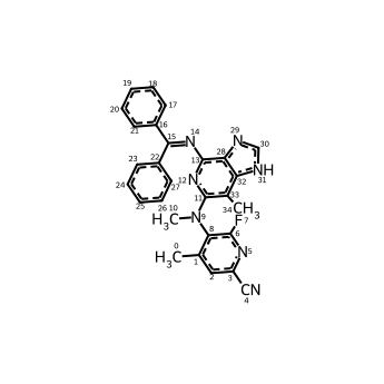 Cc1cc(C#N)nc(F)c1N(C)c1nc(N=C(c2ccccc2)c2ccccc2)c2nc[nH]c2c1C